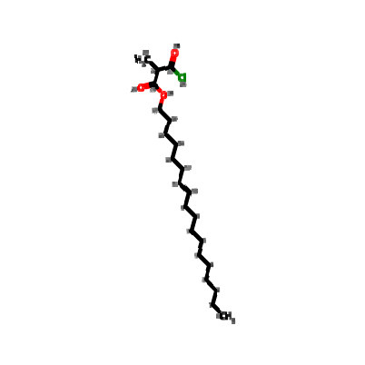 CCCCCCCCCCCCCCCCCCOC(=O)C(C)C(=O)Cl